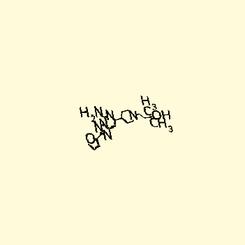 CC(C)(O)CCN1CC=C(c2cc3nc(-c4ccco4)nn3c(N)n2)CC1